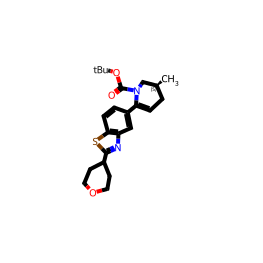 C[C@H]1CC=C(c2ccc3sc(C4CCOCC4)nc3c2)N(C(=O)OC(C)(C)C)C1